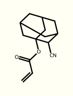 C=CC(=O)OC12CC3CC(CC(C3)C1C#N)C2